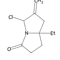 C=C1CC2(CC)CCC(=O)N2C1Cl